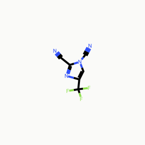 N#Cc1nc(C(F)(F)F)cn1C#N